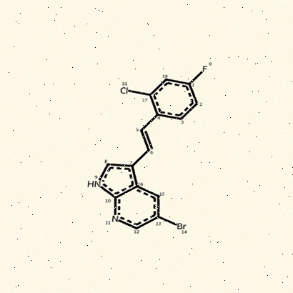 Fc1ccc(/C=C/c2c[nH]c3ncc(Br)cc23)c(Cl)c1